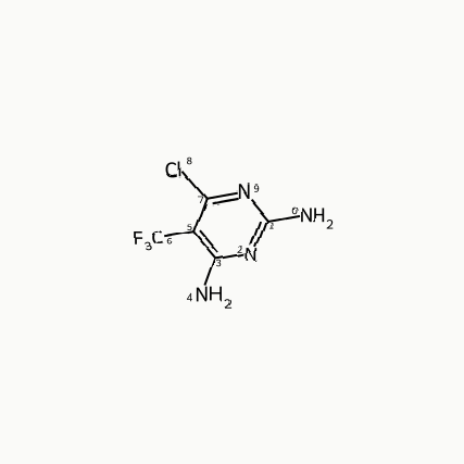 Nc1nc(N)c(C(F)(F)F)c(Cl)n1